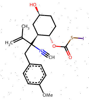 C#[N+]C(Cc1ccc(OC)cc1)(C(=C)C)[C@H]1C[C@@H](O)CC[C@@H]1OC(=O)SI